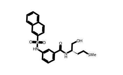 CSCC[C@@H](CO)NC(=O)c1cccc(NS(=O)(=O)c2ccc3ccccc3c2)c1